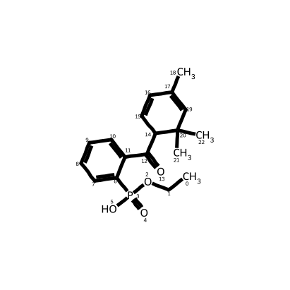 CCOP(=O)(O)c1ccccc1C(=O)C1C=CC(C)=CC1(C)C